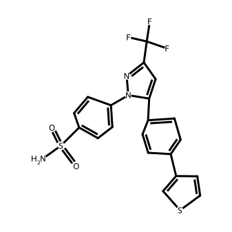 NS(=O)(=O)c1ccc(-n2nc(C(F)(F)F)cc2-c2ccc(-c3ccsc3)cc2)cc1